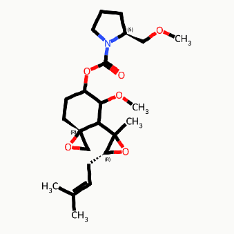 COC[C@@H]1CCCN1C(=O)OC1CC[C@]2(CO2)C(C2(C)O[C@@H]2CC=C(C)C)C1OC